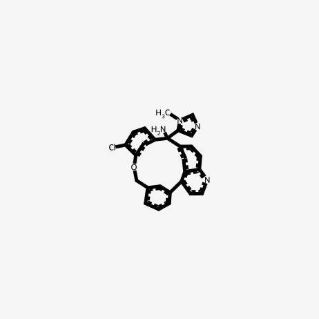 Cn1cncc1C1(N)c2ccc(Cl)c(c2)OCc2cccc(c2)-c2ccnc3ccc1cc23